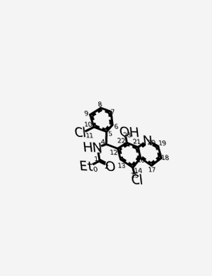 CCC(=O)NC(c1ccccc1Cl)c1cc(Cl)c2cccnc2c1O